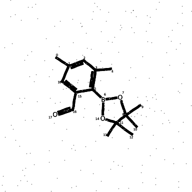 Cc1cc(C)c(B2OC(C)(C)C(C)(C)O2)c(C=O)c1